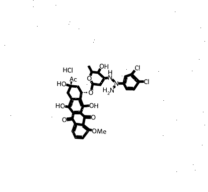 COc1cccc2c1C(=O)c1c(O)c3c(c(O)c1C2=O)C[C@@](O)(C(C)=O)C[C@@H]3OC1CC(NN(N)c2ccc(Cl)c(Cl)c2)C(O)C(C)O1.Cl